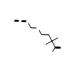 CC(C)(CCOCN=[N+]=[N-])C(N)=O